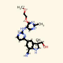 COCCOc1nc(C)ncc1Nc1nccc(-c2cc(C#N)c3c(c2)[C@@](C)(CO)CN3)n1